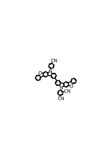 N#Cc1ccc(-n2c3ccc(-c4ccc5c(c4)c4cc6c(cc4n5-c4ccc(C#N)cc4C#N)oc4ccccc46)cc3c3cc4c(cc32)oc2ccccc24)cc1